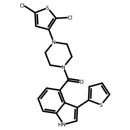 O=C(c1cccc2[nH]cc(-c3cccs3)c12)N1CCN(c2cc(Cl)sc2Cl)CC1